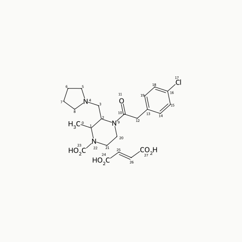 CC1C(CN2CCCC2)N(C(=O)Cc2ccc(Cl)cc2)CCN1C(=O)O.O=C(O)C=CC(=O)O